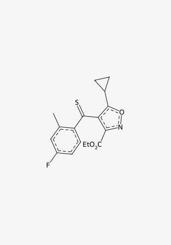 CCOC(=O)c1noc(C2CC2)c1C(=S)c1ccc(F)cc1C